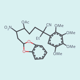 CCC(C#N)(CCC(OC(C)=O)C(CC1Oc2ccccc2O1)[N+](=O)[O-])c1cc(OC)c(OC)c(OC)c1OC